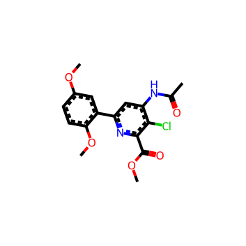 COC(=O)c1nc(-c2cc(OC)ccc2OC)cc(NC(C)=O)c1Cl